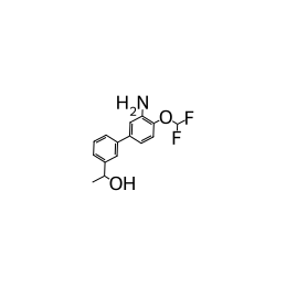 CC(O)c1cccc(-c2ccc(OC(F)F)c(N)c2)c1